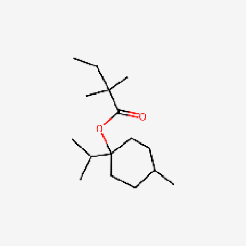 CCC(C)(C)C(=O)OC1(C(C)C)CCC(C)CC1